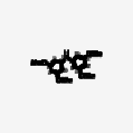 COc1cc(OC)cc(Pc2cc(OC)cc(OC)c2)c1